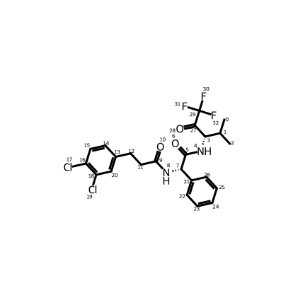 CC(C)[C@H](NC(=O)[C@@H](NC(=O)CCc1ccc(Cl)c(Cl)c1)c1ccccc1)C(=O)C(F)(F)F